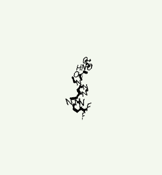 CC(NS(C)(=O)=O)[C@H]1CN(c2cc(-c3cnc4ccc(C(F)F)nn34)ncn2)CCO1